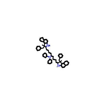 CN1/C(=C/C=C/C=C(/C=C/C=C/C2=[N+](C)c3ccc4ccccc4c3C2(C)Cc2ccccc2)N(c2ccccc2)c2ccccc2)C(C)(Cc2ccccc2)c2c1ccc1ccccc21